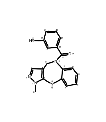 Cn1ncc2c1Nc1ccccc1N(C(=O)c1cccc(S)c1)C2